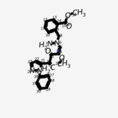 C=C(C(=O)/C(=C\N(N)Cc1ccccc1C(=O)OC)OC)c1ccnn1-c1ccccc1